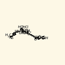 Cc1ncsc1-c1ccc(CCNC(=O)[C@@H]2C[C@@H](O)CN2C(=O)C(C)(C)[C@H](C)NC(=O)CCCCCCCNC(=O)c2ccc(N3CCNCC3)nc2)cc1.Cl